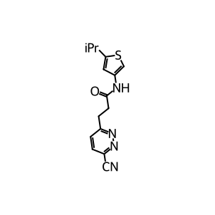 CC(C)c1cc(NC(=O)CCc2ccc(C#N)nn2)cs1